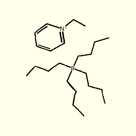 CCCC[B-](CCCC)(CCCC)CCCC.CC[n+]1ccccc1